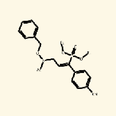 CCOP(=O)(OCC)C(=CCN(OCc1ccccc1)C(C)=O)c1ccc(C#N)cc1